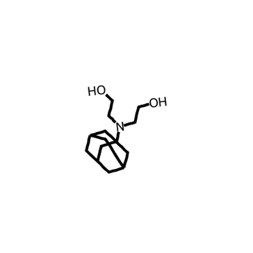 OCCN(CCO)C12CC3CC(CC(C3)C1)C2